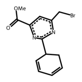 COC(=O)c1cc(CBr)nc(C2C=CC=CC2)n1